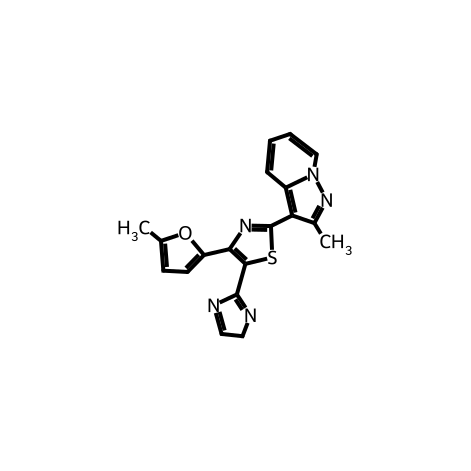 Cc1ccc(-c2nc(-c3c(C)nn4ccccc34)sc2C2=NCC=N2)o1